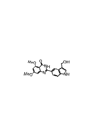 COc1cc(OC)c2c(=O)[nH]c(-c3ccc4[nH]cc(CO)c4c3)nc2c1